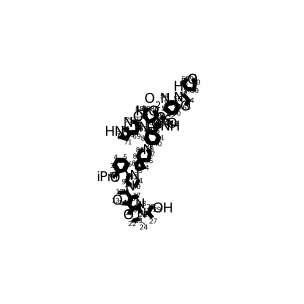 CC(C)Oc1ccccc1[C@@H]1CN([C@@H]2COCc3c2cnc2c3OC[C@@H](C)N2C(C)CO)CCN1C1CC2(CCN(c3ccc(C(=O)NS(=O)(=O)c4cc5c(c([N+](=O)[O-])c4)N[C@H](C4CCOCC4)CO5)c(N4c5cc6cc[nH]c6nc5O[C@H]5COCC[C@@H]54)c3)CC2)C1